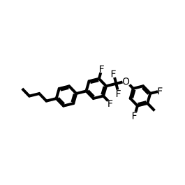 CCCCc1ccc(-c2cc(F)c(C(F)(F)Oc3cc(F)c(C)c(F)c3)c(F)c2)cc1